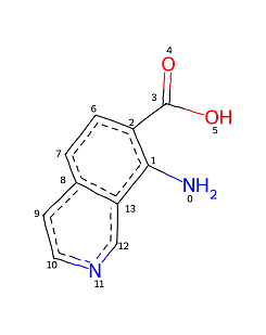 Nc1c(C(=O)O)ccc2ccncc12